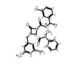 CCC(NC(=O)N1C(=O)[C@H](Cc2cc(C)nc(N)c2)[C@H]1C(=O)N(C)c1ncccn1)c1cccc(Cl)c1